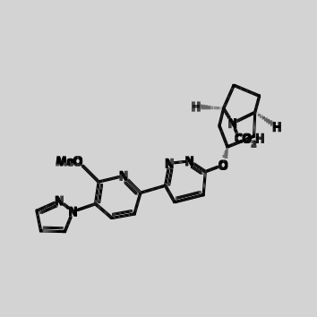 COc1nc(-c2ccc(O[C@@H]3C[C@H]4CC[C@@H](C3)N4C(=O)O)nn2)ccc1-n1cccn1